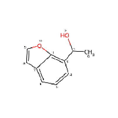 CC(O)c1cccc2ccoc12